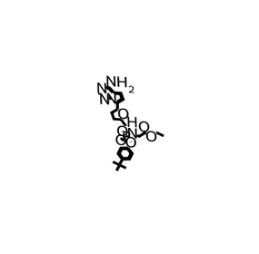 CCOC(=O)CNP(=O)(OCC1CCC(c2ccc3c(N)ncnn23)O1)Oc1ccc(C(C)(C)C)cc1